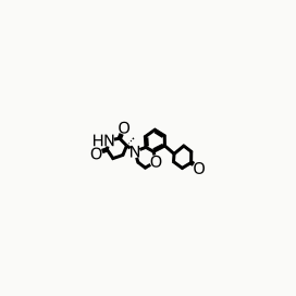 C[C@]1(N2CCOc3c(C4CCC(=O)CC4)cccc32)CCC(=O)NC1=O